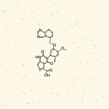 COc1cc(F)c(-n2c(=O)[nH]c3csc(C(=O)O)c3c2=O)cc1OCc1cccc2ncncc12